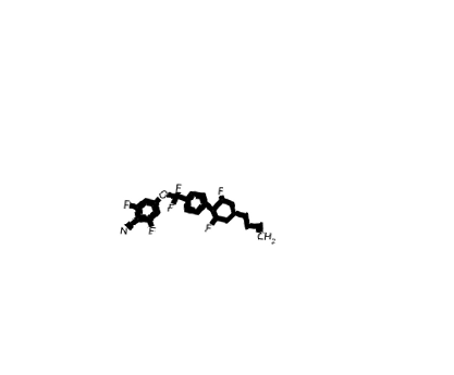 C=CCCC1CC(F)C(c2ccc(C(F)(F)Oc3cc(F)c(C#N)c(F)c3)cc2)C(F)C1